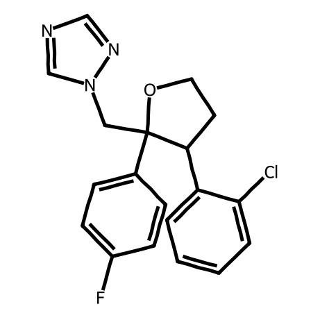 Fc1ccc(C2(Cn3cncn3)OCCC2c2ccccc2Cl)cc1